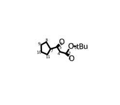 CC(C)(C)OC(=O)CC(=O)C1CCCC1